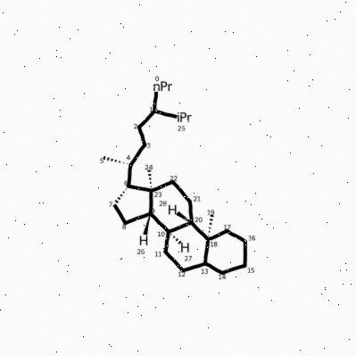 CCCC(CC[C@@H](C)[C@H]1CC[C@H]2[C@@H]3CCC4CCCC[C@]4(C)[C@H]3CC[C@]12C)C(C)C